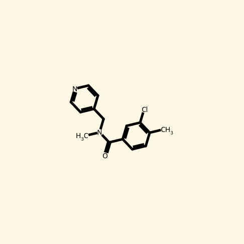 Cc1ccc(C(=O)N(C)Cc2ccncc2)cc1Cl